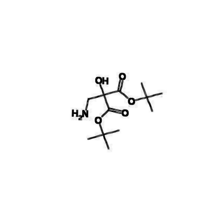 CC(C)(C)OC(=O)C(O)(CN)C(=O)OC(C)(C)C